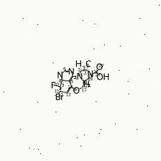 C[C@H]1CN2c3ncnc4c(F)c(Br)cc(c34)OC[C@@H]2CN1C(=O)O